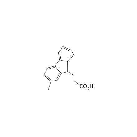 Cc1ccc2c(c1)C(CCC(=O)O)c1ccccc1-2